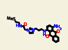 CSCCNC(=O)C[n+]1ccn(CCCNc2ccc(N)c3c2C(=O)c2ccccc2C3=O)c1